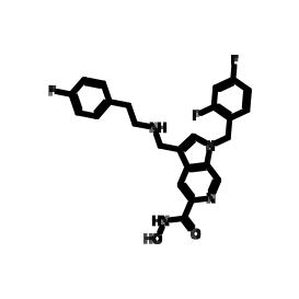 O=C(NO)c1cc2c(CNCCc3ccc(F)cc3)cn(Cc3ccc(F)cc3F)c2cn1